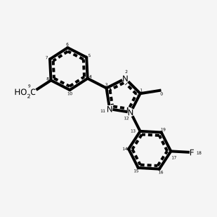 Cc1nc(-c2cccc(C(=O)O)c2)nn1-c1cccc(F)c1